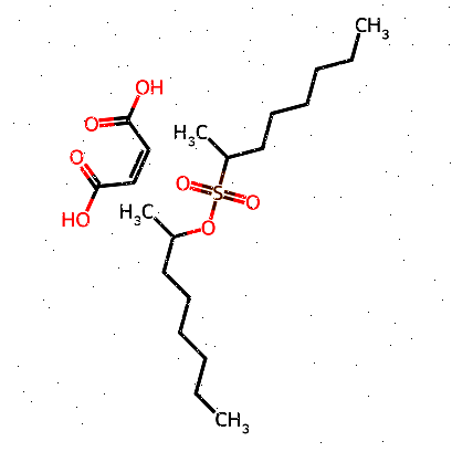 CCCCCCC(C)OS(=O)(=O)C(C)CCCCCC.O=C(O)/C=C\C(=O)O